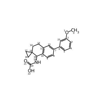 COc1cccc(-c2ccc3c(c2)CCC2(CC2)C3NC(=O)O)c1